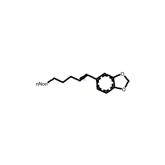 CCCCCCCCCCCC/C=C/c1ccc2c(c1)OCO2